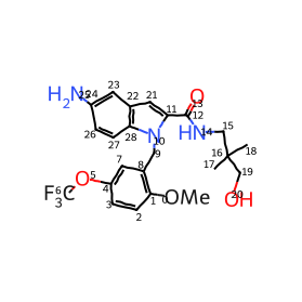 COc1ccc(OC(F)(F)F)cc1Cn1c(C(=O)NCC(C)(C)CO)cc2cc(N)ccc21